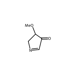 COC1CN=CC1=O